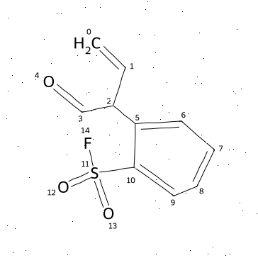 C=CC(C=O)c1ccccc1S(=O)(=O)F